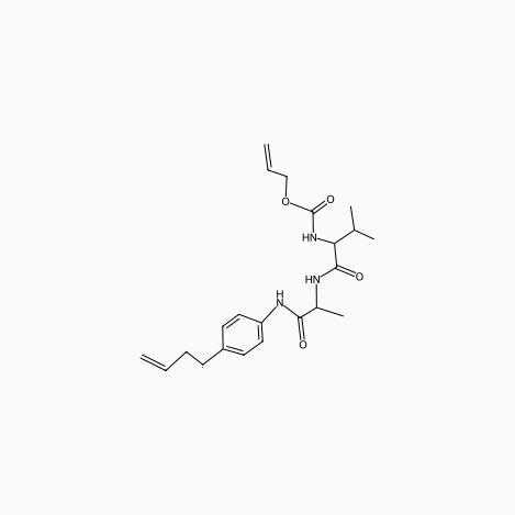 C=CC[CH]c1ccc(NC(=O)C(C)NC(=O)C(NC(=O)OCC=C)C(C)C)cc1